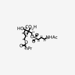 CCCC(=O)OCCC[C@](O)(C(=O)O)C(C)(C)COS(=O)(=O)CCCNC(C)=O